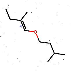 CC/C(C)=C/OCCC(C)C